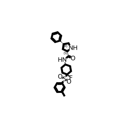 Cc1cccc(S(=O)(=O)[C@]2(F)CC[C@H](NC(=O)[C@@H]3C[C@H](c4ccccc4)CN3)CC2)c1